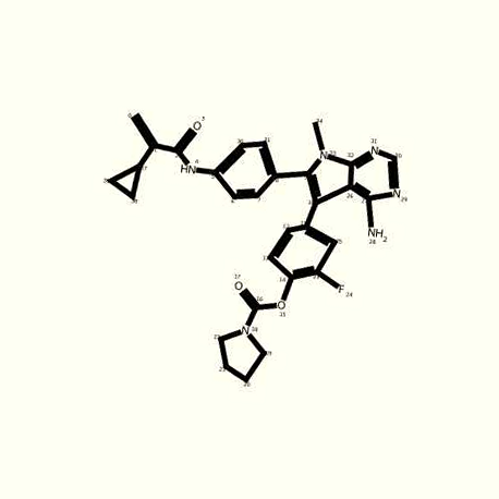 C=C(C(=O)Nc1ccc(-c2c(-c3ccc(OC(=O)N4CCCC4)c(F)c3)c3c(N)ncnc3n2C)cc1)C1CC1